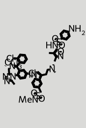 CC(Cl)(Cl)Cl.CNS(=O)(=O)Cc1ccc2[nH]cc(CCN(C)C)c2c1.Cc1nnc2n1-c1ccc(Cl)cc1C(c1ccccc1Cl)=NC2.Cc1noc(NS(=O)(=O)c2ccc(N)cc2)c1C